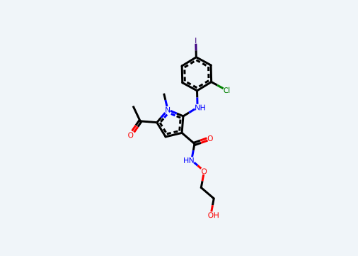 CC(=O)c1cc(C(=O)NOCCO)c(Nc2ccc(I)cc2Cl)n1C